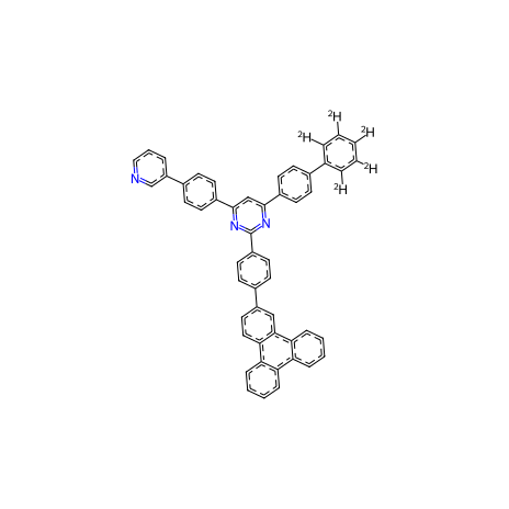 [2H]c1c([2H])c([2H])c(-c2ccc(-c3cc(-c4ccc(-c5cccnc5)cc4)nc(-c4ccc(-c5ccc6c7ccccc7c7ccccc7c6c5)cc4)n3)cc2)c([2H])c1[2H]